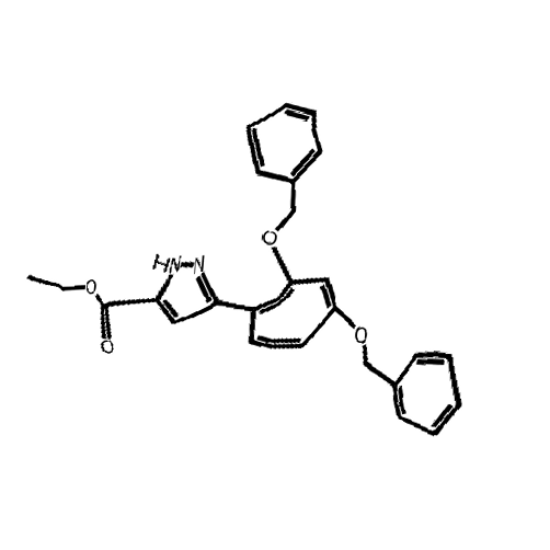 CCOC(=O)c1cc(-c2ccc(OCc3ccccc3)cc2OCc2ccccc2)n[nH]1